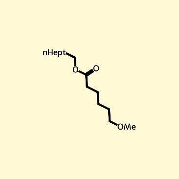 CCCCCCCCOC(=O)CCCCCOC